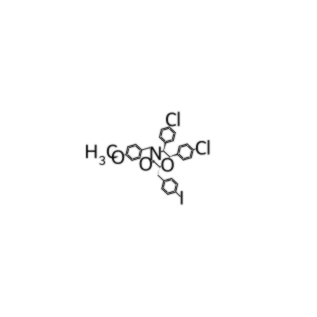 COc1ccc(CN2C(=O)[C@@H](Cc3ccc(I)cc3)O[C@H](c3ccc(Cl)cc3)[C@@H]2c2ccc(Cl)cc2)cc1